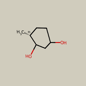 C[C@@H]1CCC(O)CC1O